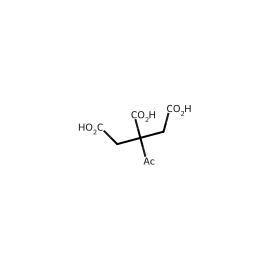 CC(=O)C(CC(=O)O)(CC(=O)O)C(=O)O